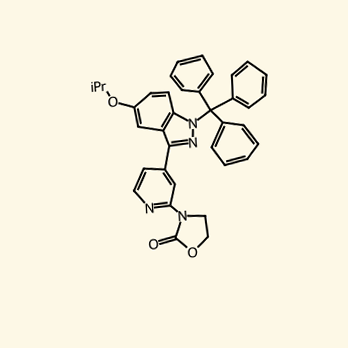 CC(C)Oc1ccc2c(c1)c(-c1ccnc(N3CCOC3=O)c1)nn2C(c1ccccc1)(c1ccccc1)c1ccccc1